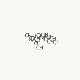 CCOC(=O)c1cnc(Cl)cc1N1CCC(C)(NC(=O)OC(C)(C)C)C1